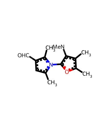 CNc1c(-n2c(C)cc(C=O)c2C)oc(C)c1C